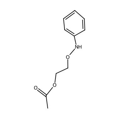 CC(=O)OCCONc1ccccc1